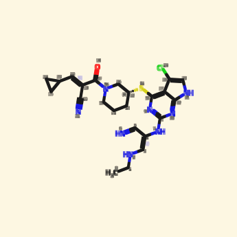 CCN/C=C(\C=N)Nc1nc(S[C@@H]2CCCN(C(=O)/C(C#N)=C/C3CC3)C2)c2c(Cl)c[nH]c2n1